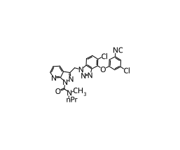 [C-]#[N+]c1cc(Cl)cc(Oc2c(Cl)ccc3c2nnn3Cc2nn(C(=O)N(C)CCC)c3ncccc23)c1